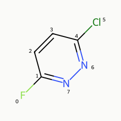 Fc1ccc(Cl)nn1